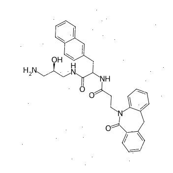 NC[C@@H](O)CNC(=O)C(Cc1ccc2ccccc2c1)NC(=O)CCN1C(=O)c2ccccc2Cc2ccccc21